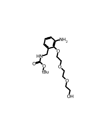 CC(C)(C)OC(=O)NCc1cccc(N)c1OCCOCCOCCO